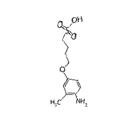 Cc1cc(OCCCCS(=O)(=O)O)ccc1N